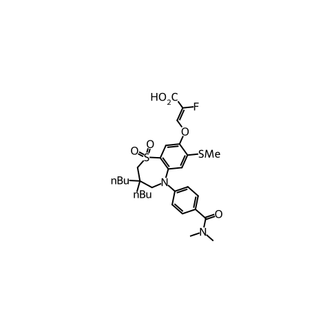 CCCCC1(CCCC)CN(c2ccc(C(=O)N(C)C)cc2)c2cc(SC)c(OC=C(F)C(=O)O)cc2S(=O)(=O)C1